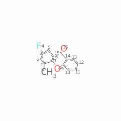 Cc1cc(F)ccc1Oc1ccccc1C=O